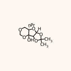 CCC[C@@]12COCO[C@@]1(O)C1OC(C)(C)O[C@H]1O2